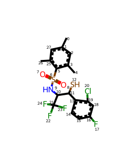 Cc1cc(C)c(S(=O)(=O)NC(C(S)c2ccc(F)cc2Cl)C(F)(F)F)c(C)c1